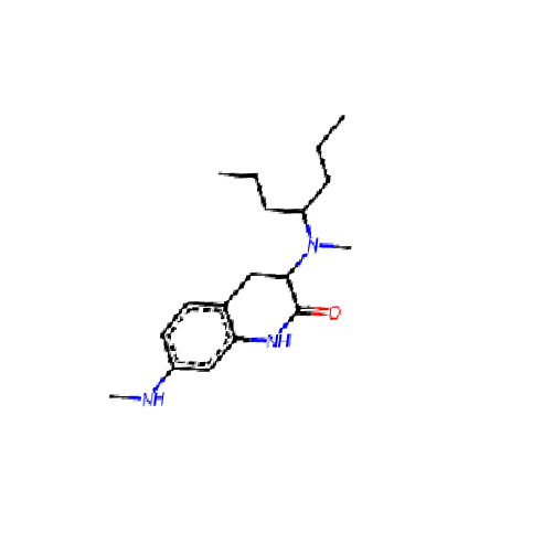 CCCC(CCC)N(C)C1Cc2ccc(NC)cc2NC1=O